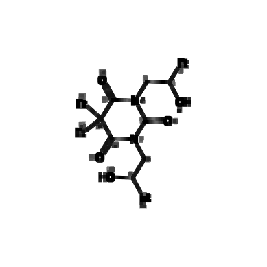 CCC(O)CN1C(=O)N(CC(O)CC)C(=O)C(CC)(CC)C1=O